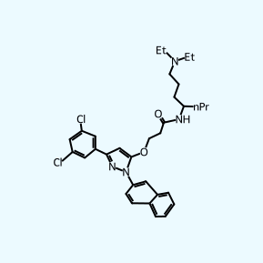 CCCC(CCCN(CC)CC)NC(=O)CCOc1cc(-c2cc(Cl)cc(Cl)c2)nn1-c1ccc2ccccc2c1